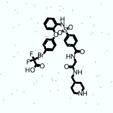 O=C(CNC(=O)c1ccc(S(=O)(=O)Nc2ccccc2Oc2ccc(Br)cc2)cc1)NCC1CCNCC1.O=C(O)C(F)(F)F